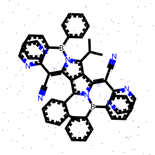 Cc1ccccc1-c1c2/c(=C(\C#N)c3ncccn3)n(B(c3ccccc3)c3ccccc3)c(C(C)C)c2/c(=C(\C#N)c2ncccn2)n1B(c1ccccc1)c1ccccc1